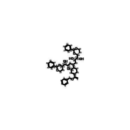 C=C(OCc1ccccc1)N1CCC(N(C[C@H](O)[C@@H](O)[C@H]2CCOC(c3ccccc3)O2)C[C@H](O)[C@@H](O)[C@H]2CCOC(c3ccccc3)O2)CC1